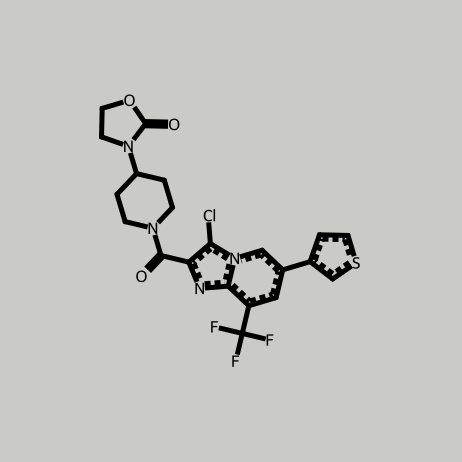 O=C(c1nc2c(C(F)(F)F)cc(-c3ccsc3)cn2c1Cl)N1CCC(N2CCOC2=O)CC1